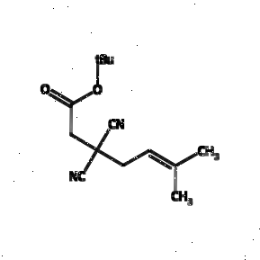 CC(C)=CCC(C#N)(C#N)CC(=O)OC(C)(C)C